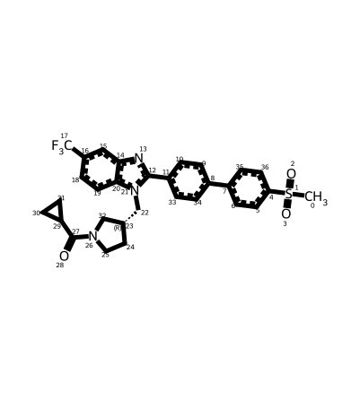 CS(=O)(=O)c1ccc(-c2ccc(-c3nc4cc(C(F)(F)F)ccc4n3C[C@@H]3CCN(C(=O)C4CC4)C3)cc2)cc1